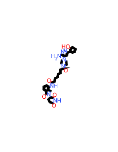 Nc1nnc(-c2ccccc2O)cc1N1CCN(C(=O)CCCCCCC(=O)Nc2cccc3c2CN(C2CCC(=O)NC2=O)C3=O)CC1